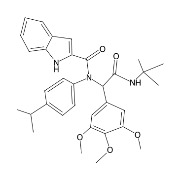 COc1cc(C(C(=O)NC(C)(C)C)N(C(=O)c2cc3ccccc3[nH]2)c2ccc(C(C)C)cc2)cc(OC)c1OC